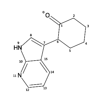 O=C1CCCCC1c1c[nH]c2ncccc12